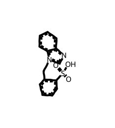 O=S(=O)(O)c1ccccc1Cn1cnc2ccccc21